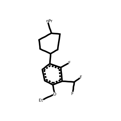 CCCC1CCC(c2ccc(OCC)c(C(F)F)c2F)CC1